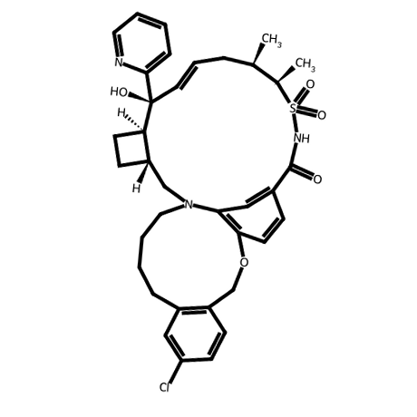 C[C@@H]1C/C=C/[C@@](O)(c2ccccn2)[C@@H]2CC[C@H]2CN2CCCCc3cc(Cl)ccc3COc3ccc(cc32)C(=O)NS(=O)(=O)[C@@H]1C